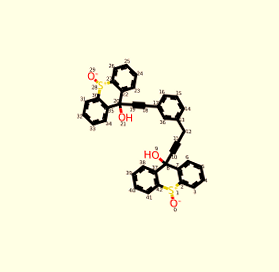 [O-][S+]1c2ccccc2C(O)(C#CCc2cccc(C#CC3(O)c4ccccc4[S+]([O-])c4ccccc43)c2)c2ccccc21